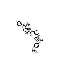 CNC(C(=O)NC(C(=O)N(C)C(/C=C(\C)C(=O)NS(=O)(=O)Cc1ccc(CN)cc1)C(C)C)C(C)(C)C)C(C)(C)c1ccccc1